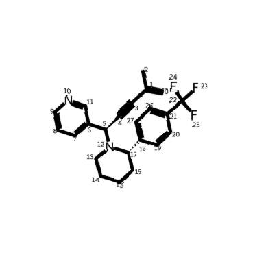 C=C(C)C#C[C@H](c1cccnc1)N1CC[CH]C[C@H]1c1ccc(C(F)(F)F)cc1